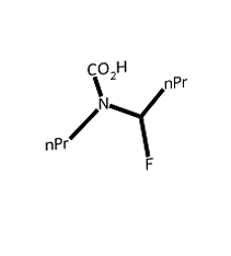 CCCC(F)N(CCC)C(=O)O